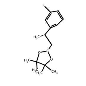 C[C@@H](CB1OC(C)(C)C(C)(C)O1)c1cccc(F)c1